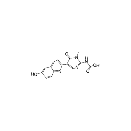 Cn1c(NC(=O)O)ncc(-c2ccc3cc(O)ccc3n2)c1=O